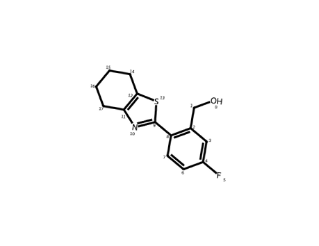 OCc1cc(F)ccc1-c1nc2c(s1)CCCC2